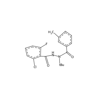 Cc1cccc(C(=O)N(NC(=O)c2c(F)cccc2Cl)C(C)(C)C)c1